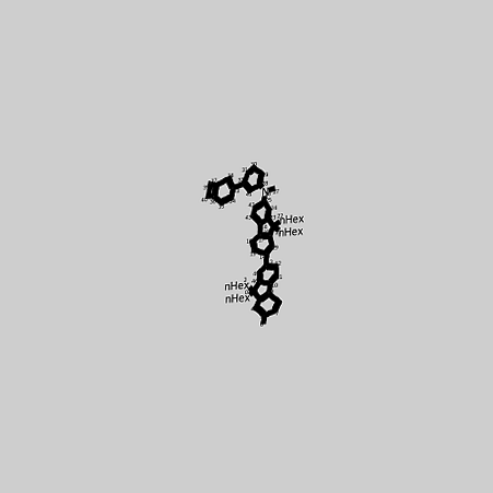 CCCCCCC1(CCCCCC)c2cc(C)ccc2-c2ccc(-c3ccc4c(c3)C(CCCCCC)(CCCCCC)c3cc(N(C)c5cccc(-c6ccc7c(c6)CC7)c5)ccc3-4)cc21